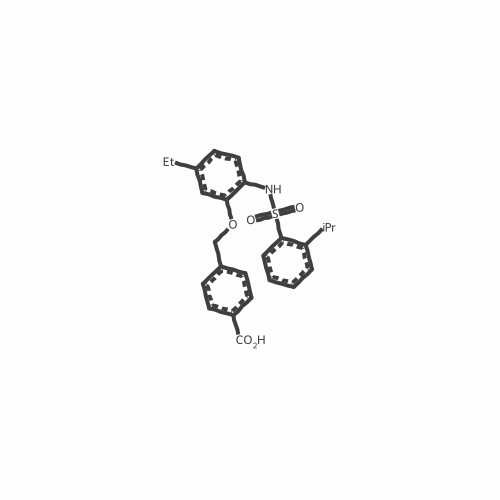 CCc1ccc(NS(=O)(=O)c2ccccc2C(C)C)c(OCc2ccc(C(=O)O)cc2)c1